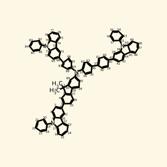 CC1(C)c2cc(-c3ccc4c(c3)c3ccccc3n4-c3ccccc3)ccc2-c2ccc(N(c3ccc(-c4ccc(-c5ccc6c7ccccc7n(-c7ccccc7)c6c5)cc4)cc3)c3ccc(-c4ccc5c(c4)c4ccccc4n5-c4ccccc4)cc3)cc21